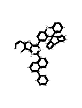 C/C=C\c1sc2c(-c3ccc4c(c3)C3(c5ccccc5O4)c4ccccc4-c4ccccc43)nc(-c3cccc4c(-c5ccccc5)cccc34)nc2c1C